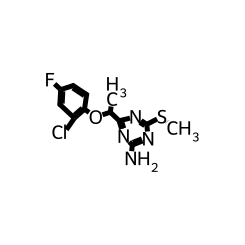 CSc1nc(N)nc(C(C)Oc2ccc(F)cc2Cl)n1